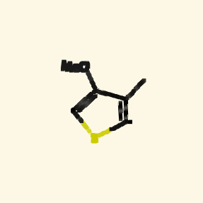 COc1cs[c]c1C